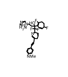 CNc1ccc(C#CC2=CN=C(C(F)(F)C(O)(CCN(N)/C=N\N)C3=C(F)CCC(F)C=C3)C=CC2)cc1